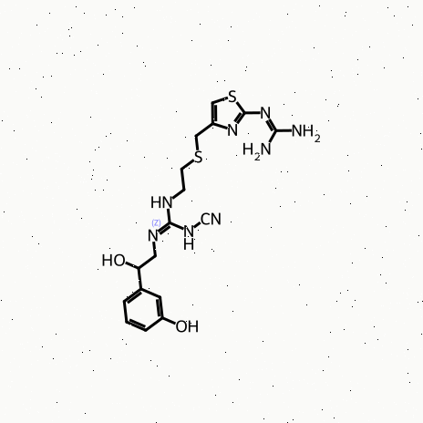 N#CN/C(=N\CC(O)c1cccc(O)c1)NCCSCc1csc(N=C(N)N)n1